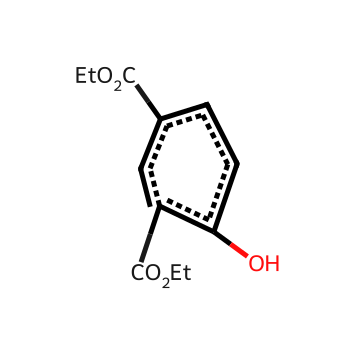 CCOC(=O)c1ccc(O)c(C(=O)OCC)c1